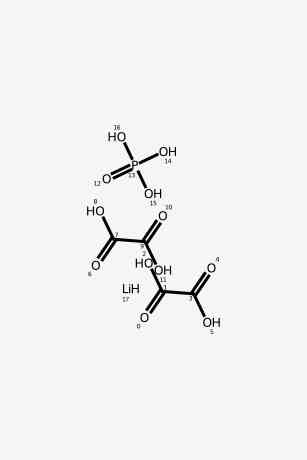 O=C(O)C(=O)O.O=C(O)C(=O)O.O=P(O)(O)O.[LiH]